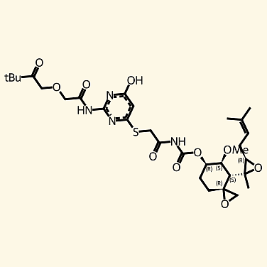 CO[C@H]1[C@H](C2(C)O[C@@H]2CC=C(C)C)[C@]2(CC[C@H]1OC(=O)NC(=O)CSc1cc(O)nc(NC(=O)COCC(=O)C(C)(C)C)n1)CO2